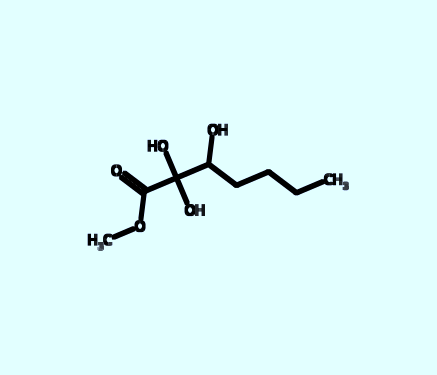 CCCCC(O)C(O)(O)C(=O)OC